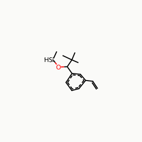 C=Cc1cccc(C(O[SiH](C)C)C(C)(C)C)c1